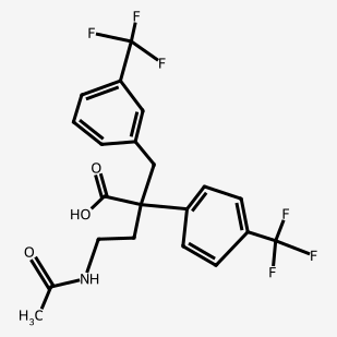 CC(=O)NCCC(Cc1cccc(C(F)(F)F)c1)(C(=O)O)c1ccc(C(F)(F)F)cc1